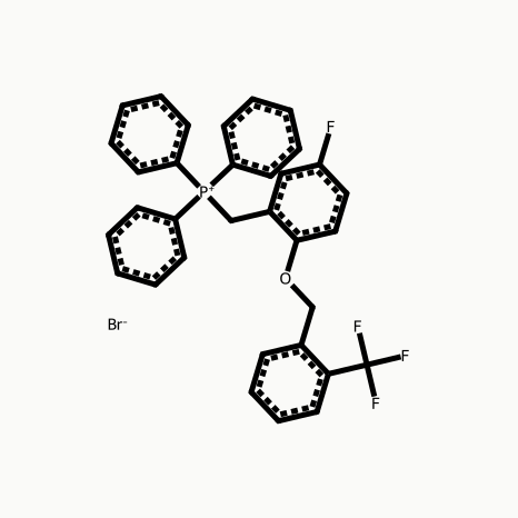 Fc1ccc(OCc2ccccc2C(F)(F)F)c(C[P+](c2ccccc2)(c2ccccc2)c2ccccc2)c1.[Br-]